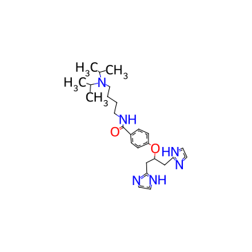 CC(C)N(CCCCNC(=O)c1ccc(OC(Cc2ncc[nH]2)Cc2ncc[nH]2)cc1)C(C)C